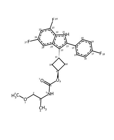 COCC(C)NC(=O)O[C@H]1C[C@H](c2c(-c3ccc(F)cc3)[nH]c3c(F)cc(F)cc32)C1